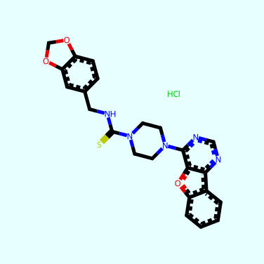 Cl.S=C(NCc1ccc2c(c1)OCO2)N1CCN(c2ncnc3c2oc2ccccc23)CC1